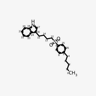 CCCCCc1ccc(S(=O)(=O)CCCCc2c[nH]c3ccccc23)cc1